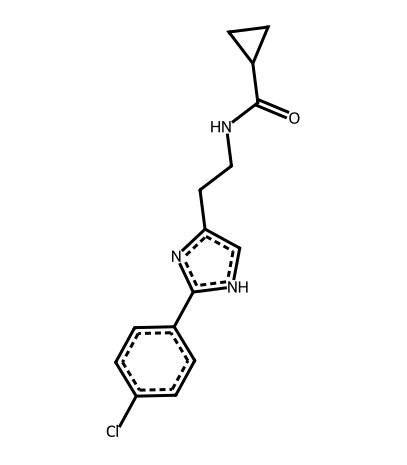 O=C(NCCc1c[nH]c(-c2ccc(Cl)cc2)n1)C1CC1